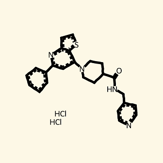 Cl.Cl.O=C(NCc1ccncc1)C1CCN(c2cc(-c3ccccc3)nc3ccsc23)CC1